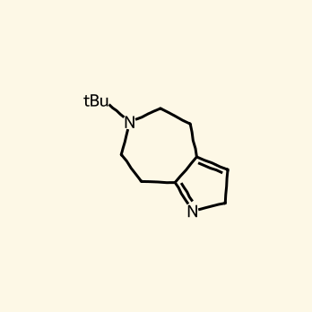 CC(C)(C)N1CCC2=CCN=C2CC1